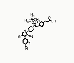 CC(C)(C)OC(=O)N(Cc1ccc(/C=C/C(=O)O)cc1)C1CCN(c2ncc(Br)c(-c3ccc(C#N)c(F)c3)c2C#N)CC1